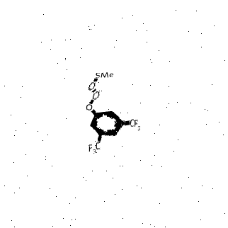 CSOOOc1cc(C(F)(F)F)cc(C(F)(F)F)c1